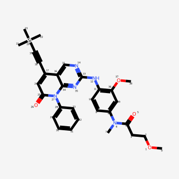 COCCC(=O)N(C)c1ccc(Nc2ncc3c(C#C[Si](C)(C)C)cc(=O)n(-c4ccccc4)c3n2)c(OC)c1